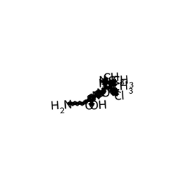 Cc1sc2c(c1C)C(c1ccc(Cl)cc1)=N[C@@H](CC(=O)N1CCN(c3ccc(C#CCCCCCCN)c(C(=O)O)c3)CC1)c1nnc(C)n1-2